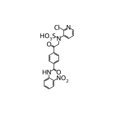 O=C(CN(c1cccnc1Cl)S(=O)(=O)O)c1ccc(C(=O)Nc2ccccc2[N+](=O)[O-])cc1